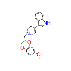 COc1ccc2c(c1)OC(CN1CC=C(c3c[nH]c4ccccc34)CC1)CO2